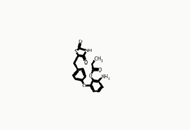 CCC(=O)Oc1c(N)cccc1Oc1ccc(CC2SC(=O)NC2=O)cc1